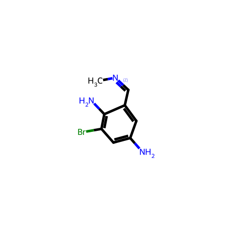 C/N=C\c1cc(N)cc(Br)c1N